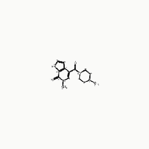 CN1CCN(C(=O)c2cn(C)c(=O)c3[nH]ccc23)CC1